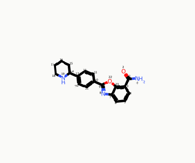 NC(=O)c1cccc2nc(-c3ccc(C4CCCCN4)cc3)oc12